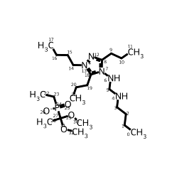 CCCCNCNn1c(CCC)n[n+](CCCC)c1CCC.CCP(=O)([O-])C(C)(OC)OC